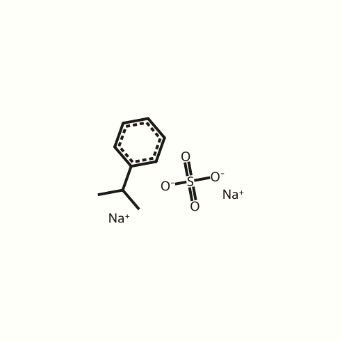 CC(C)c1ccccc1.O=S(=O)([O-])[O-].[Na+].[Na+]